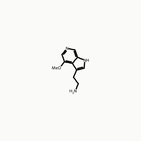 COc1cncc2[nH]cc(CCN)c12